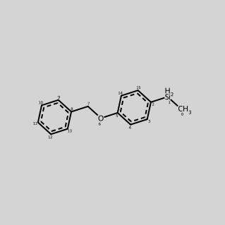 C[SiH2]c1ccc(OCc2ccccc2)cc1